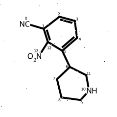 N#Cc1cccc(C2CCCNC2)c1[N+](=O)[O-]